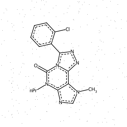 CCCn1c(=O)n2c(-c3ccccc3Cl)nnc2c2c1ncn2C